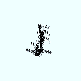 C=CCOC(=O)N1c2cc(OCCCC(=O)Nc3cc(C(=O)Nc4cc(C(=O)NCCCNC(C)=O)n(C)c4)n(C)c3)c(OC)cc2C(=O)N2CCC[C@H]2[C@@H]1OC